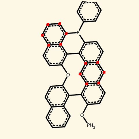 POc1ccc2ccccc2c1-c1c(Oc2ccc3ccccc3c2-c2c(P(c3ccccc3)c3ccccc3)ccc3ccccc23)ccc2ccccc12